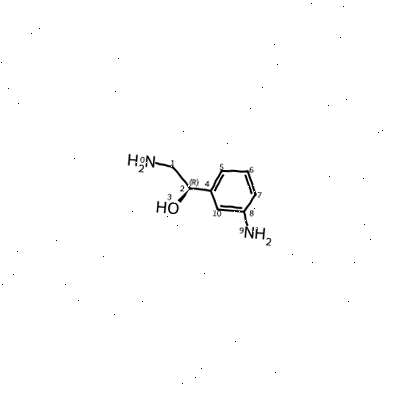 NC[C@H](O)c1cccc(N)c1